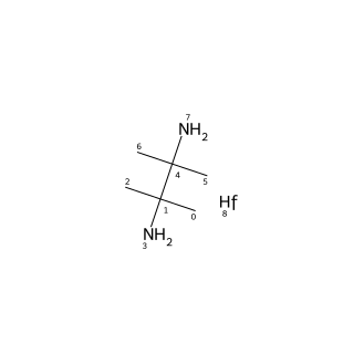 CC(C)(N)C(C)(C)N.[Hf]